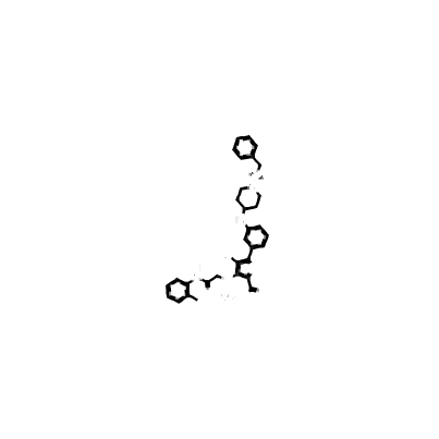 COC(=O)c1sc(-c2cccc(NC3CCN(S(=O)(=O)Cc4ccccc4)CC3)c2)c(Br)c1OCC(=O)Nc1ccccc1C